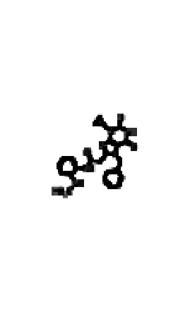 O=C(O)Nc1ccccc1NC(=O)Cc1nc2c(c(=O)[nH]c(=O)n2C2CC2)n1Cc1ccccc1